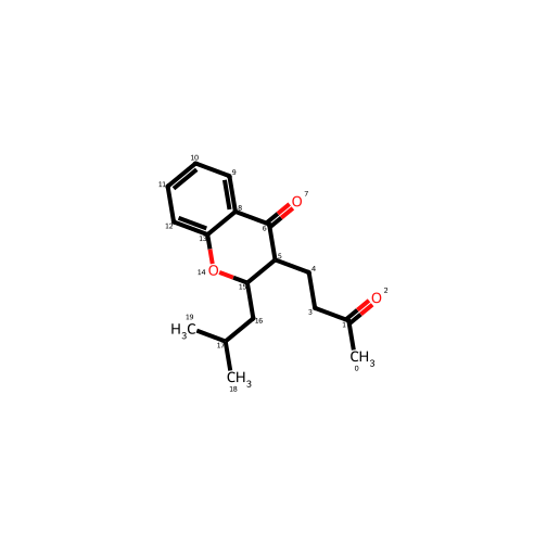 CC(=O)CCC1C(=O)c2ccccc2OC1CC(C)C